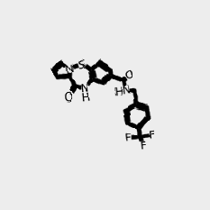 O=C(NCc1ccc(C(F)(F)F)cc1)c1ccc2c(c1)NC(=O)c1cccn1S2